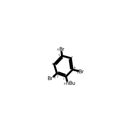 [CH2]CCCc1c(Br)cc(Br)cc1Br